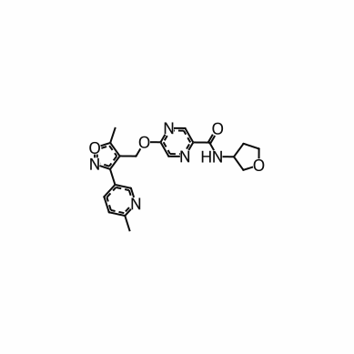 Cc1ccc(-c2noc(C)c2COc2cnc(C(=O)NC3CCOC3)cn2)cn1